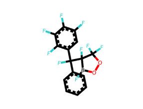 FB1OOC(F)(F)C1(F)C(F)(c1ccccc1)c1cc(F)c(F)c(F)c1F